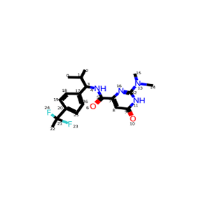 CC(C)C(NC(=O)c1cc(=O)[nH]c(N(C)C)n1)c1ccc(C(C)(F)F)cc1